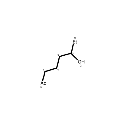 CCC(O)CCCC(C)=O